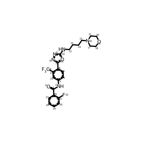 O=C(Nc1ccc(-c2nnc(NCCCCN3CCOCC3)o2)c(C(F)(F)F)c1)c1ccccc1F